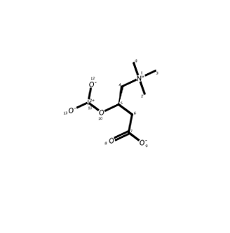 C[N+](C)(C)C[C@@H](CC(=O)[O-])O[I+2]([O-])[O-]